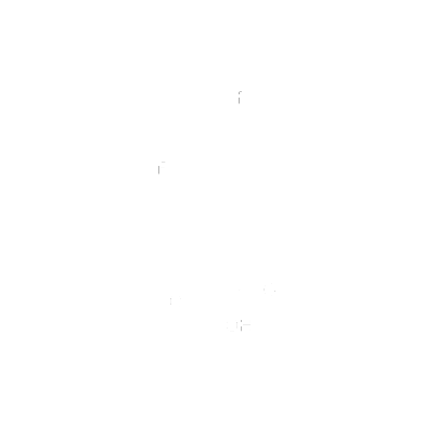 COc1ccc(-c2ccc(F)cc2F)cc1C(=O)O